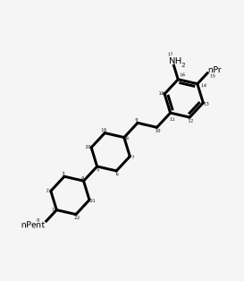 CCCCCC1CCC(C2CCC(CCc3ccc(CCC)c(N)c3)CC2)CC1